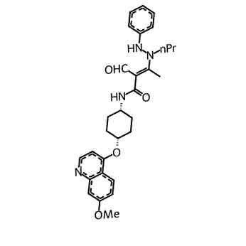 CCCN(Nc1ccccc1)/C(C)=C(\C=O)C(=O)N[C@H]1CC[C@@H](Oc2ccnc3cc(OC)ccc23)CC1